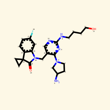 NC1CCN(c2nc(NCCCCO)ncc2CN2C(=O)C3(CC3)c3ccc(F)cc32)C1